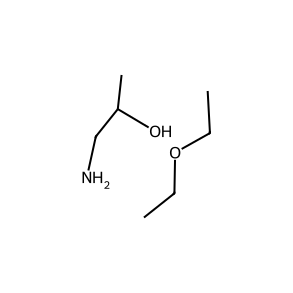 CC(O)CN.CCOCC